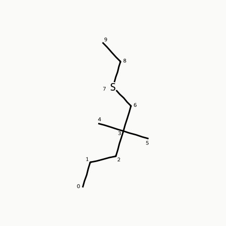 CCCC(C)(C)CSCC